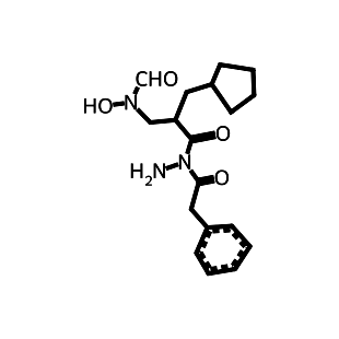 NN(C(=O)Cc1ccccc1)C(=O)C(CC1CCCC1)CN(O)C=O